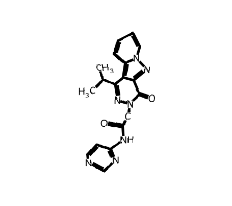 CC(C)c1nn(CC(=O)Nc2ccncn2)c(=O)c2nn3ccccc3c12